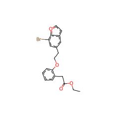 CCOC(=O)Cc1ccccc1OCCc1cc(Br)c2occc2c1